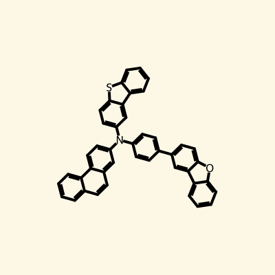 c1ccc2c(c1)ccc1cc(N(c3ccc(-c4ccc5oc6ccccc6c5c4)cc3)c3ccc4sc5ccccc5c4c3)ccc12